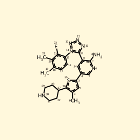 Cc1cc(-c2cnc(N)c(-c3nnnn3-c3ccc(C)c(C)c3F)c2)sc1C1CCNCC1